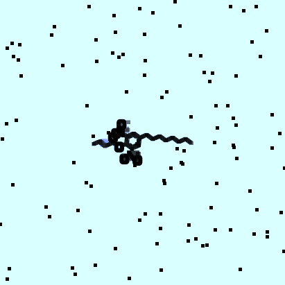 C/C=C/C(=O)Oc1c([N+](=O)[O-])cc(CCCCCCCC)cc1[N+](=O)[O-]